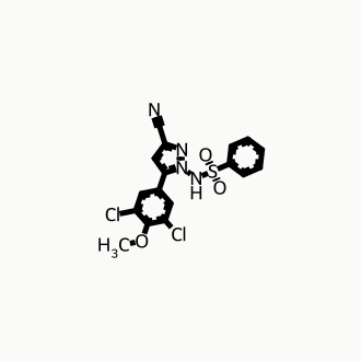 COc1c(Cl)cc(-c2cc(C#N)nn2NS(=O)(=O)c2ccccc2)cc1Cl